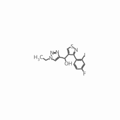 CCn1cc(C(O)c2csnc2-c2ccc(F)cc2I)nn1